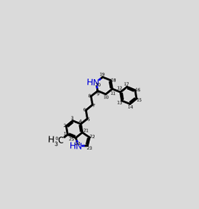 Cc1ccc(CCCCC2CC(c3ccccc3)=CCN2)c2cc[nH]c12